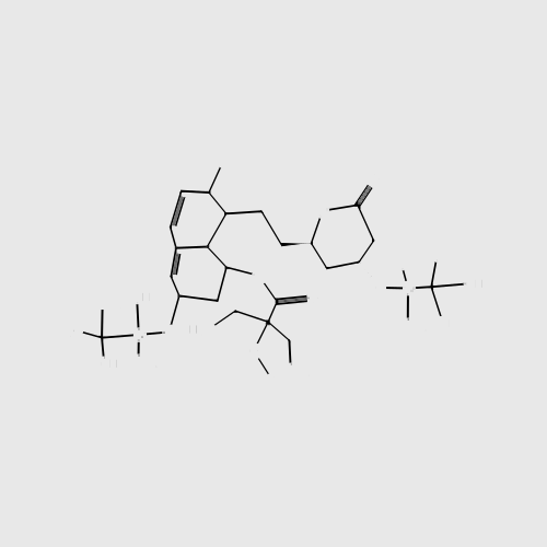 CCC(CC)(OC)C(=O)OC1CC(O[Si](C)(C)C(C)(C)C)C=C2C=CC(C)C(CC[C@@H]3C[C@@H](O[Si](C)(C)C(C)(C)C)CC(=O)O3)C21